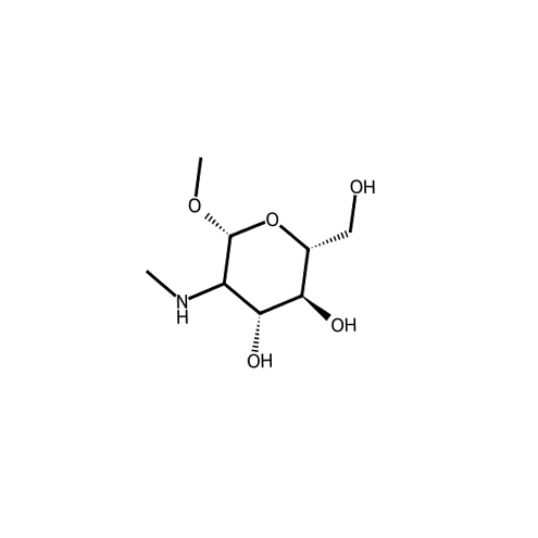 CNC1[C@H](OC)O[C@H](CO)[C@@H](O)[C@@H]1O